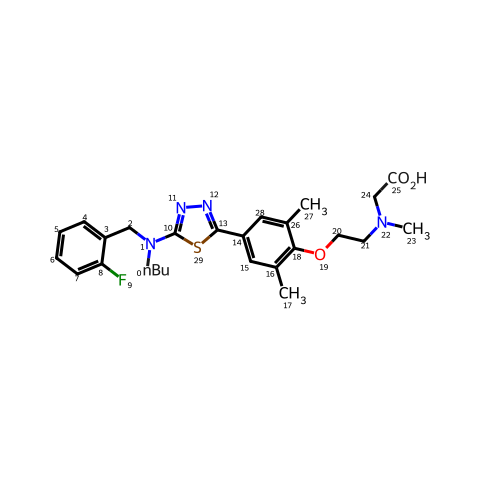 CCCCN(Cc1ccccc1F)c1nnc(-c2cc(C)c(OCCN(C)CC(=O)O)c(C)c2)s1